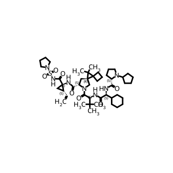 C=C[C@@H]1C[C@]1(NC(=O)[C@@H]1C[C@@]2(CN1C(=O)[C@@H](NC(=O)[C@@H](NC(=O)[C@@H]1CCCN1C1CCCC1)C1CCCCC1)C(C)(C)C)C(C)(C)C21CCC1)C(=O)NS(=O)(=O)N1CCCC1